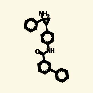 N[C@@]1(c2ccccc2)C[C@H]1c1ccc(NC(=O)c2cccc(-c3ccccc3)c2)cc1